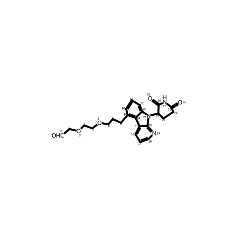 O=CCOCCOCCCc1cccc2c1c1cccnc1n2C1CCC(=O)NC1=O